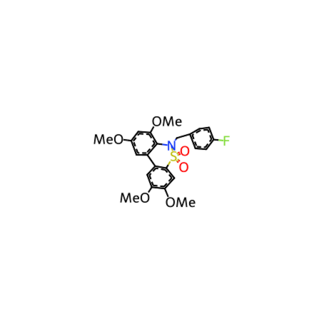 COc1cc(OC)c2c(c1)-c1cc(OC)c(OC)cc1S(=O)(=O)N2Cc1ccc(F)cc1